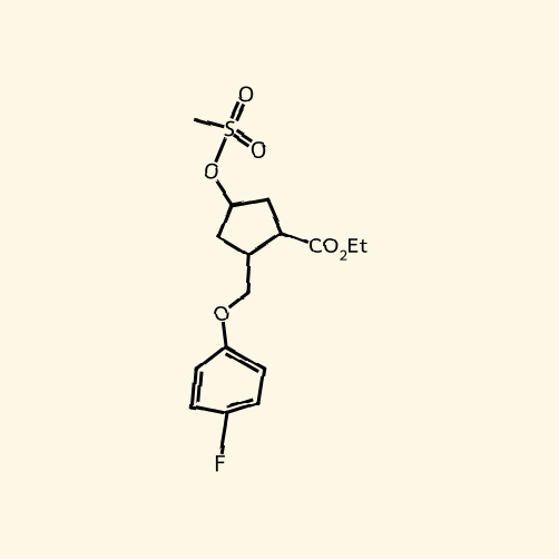 CCOC(=O)C1CC(OS(C)(=O)=O)CC1COc1ccc(F)cc1